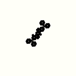 Cc1cc(N(c2ccccc2)c2ccccc2)cc2c1-c1cc3c(c(C)c1C2(C)C)-c1ccc(N(c2ccccc2)c2ccccc2)cc1C3(C)C